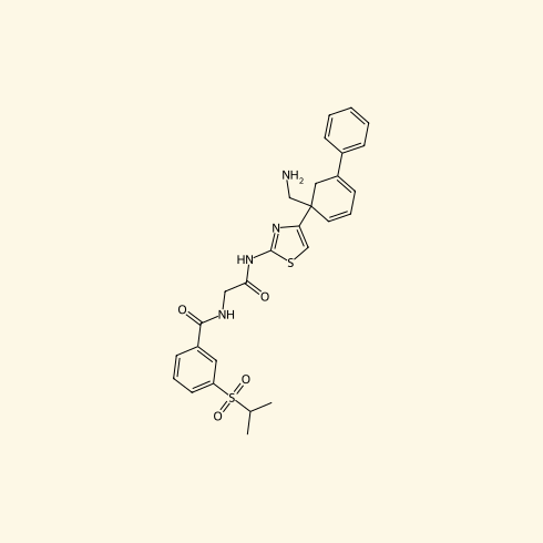 CC(C)S(=O)(=O)c1cccc(C(=O)NCC(=O)Nc2nc(C3(CN)C=CC=C(c4ccccc4)C3)cs2)c1